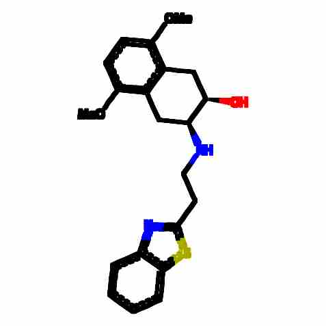 COc1ccc(OC)c2c1C[C@H](NCCc1nc3ccccc3s1)[C@@H](O)C2